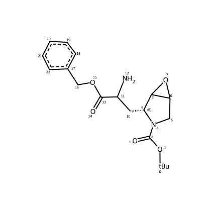 CC(C)(C)OC(=O)N1CC2OC2[C@H]1CC(N)C(=O)OCc1ccccc1